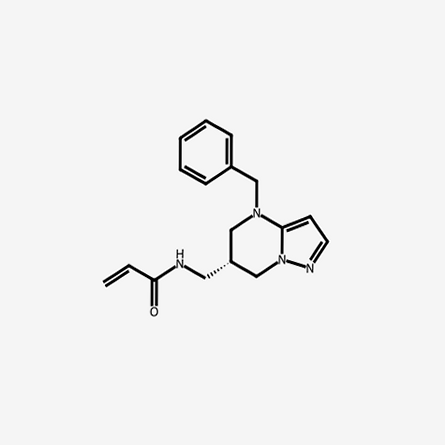 C=CC(=O)NC[C@@H]1CN(Cc2ccccc2)c2ccnn2C1